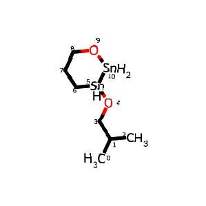 CC(C)C[O][SnH]1[CH2]CC[O][SnH2]1